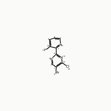 CC(C)c1cnc(-c2ncccc2F)nc1Cl